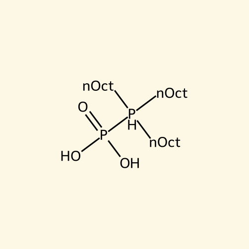 CCCCCCCC[PH](CCCCCCCC)(CCCCCCCC)P(=O)(O)O